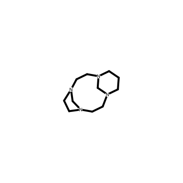 C1CN2CCN3CCN(CCN(C1)C2)C3